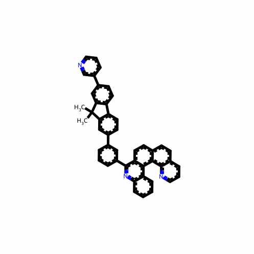 CC1(C)c2cc(-c3cccnc3)ccc2-c2ccc(-c3cccc(-c4nc5ccccc5c5c4ccc4ccc6cccnc6c45)c3)cc21